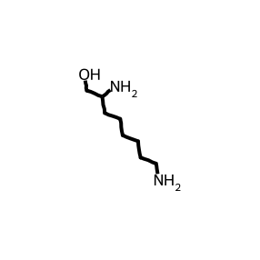 NCCCCCCC(N)CO